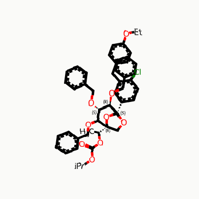 CCOc1ccc(Cc2cc([C@]34OC[C@](C(C)OC(=O)OC(C)C)(O3)C(OCc3ccccc3)[C@H](OCc3ccccc3)[C@H]4OCc3ccccc3)ccc2Cl)cc1